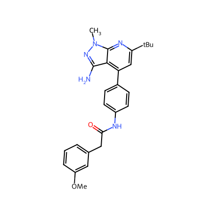 COc1cccc(CC(=O)Nc2ccc(-c3cc(C(C)(C)C)nc4c3c(N)nn4C)cc2)c1